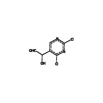 O=CC(O)c1cnc(Cl)nc1Cl